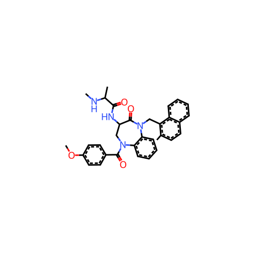 CNC(C)C(=O)NC1CN(C(=O)c2ccc(OC)cc2)c2ccccc2N(Cc2c(C)ccc3ccccc23)C1=O